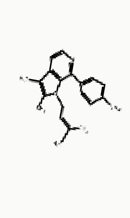 CSc1ccc(-c2nccc3c(C)c(C)n(CC=C(C)C)c23)cc1